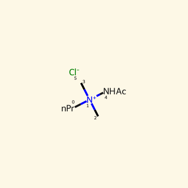 CCC[N+](C)(C)NC(C)=O.[Cl-]